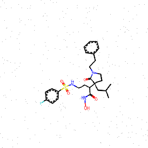 CC(C)CC1(C(CCNS(=O)(=O)c2ccc(F)cc2)C(=O)NO)CCN(CCc2ccccc2)C1=O